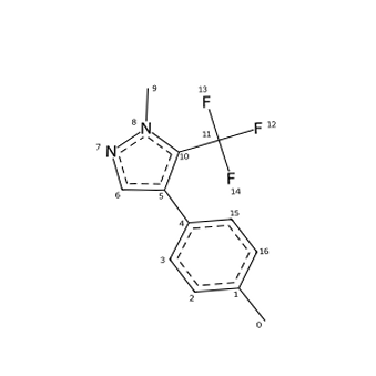 Cc1ccc(-c2cnn(C)c2C(F)(F)F)cc1